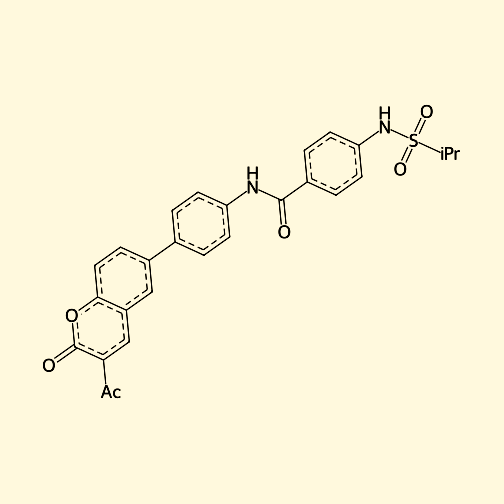 CC(=O)c1cc2cc(-c3ccc(NC(=O)c4ccc(NS(=O)(=O)C(C)C)cc4)cc3)ccc2oc1=O